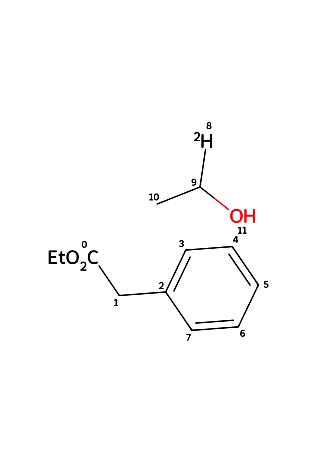 CCOC(=O)Cc1ccccc1.[2H]C(C)O